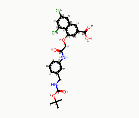 CC(C)(C)OC(=O)NCc1cccc(NC(=O)COc2cc(C(=O)O)cc3cc(Cl)cc(Cl)c23)c1